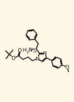 COc1ccc(-c2cn(CCCC(=O)OC(C)(C)C)c([C@@H](N)Cc3ccccc3)n2)cc1